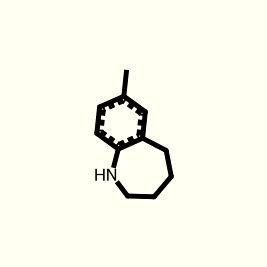 Cc1ccc2c(c1)CCCCN2